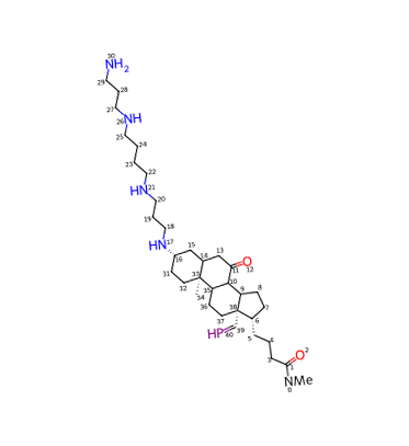 CNC(=O)CCC[C@H]1CCC2C3C(=O)CC4C[C@@H](NCCCNCCCCNCCCN)CC[C@]4(C)C3CC[C@@]21C=P